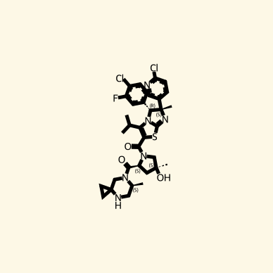 CC(C)C1=C(C(=O)N2C[C@@](C)(O)C[C@H]2C(=O)N2CC3(CC3)NC[C@@H]2C)SC2=N[C@@](C)(c3ccc(Cl)nc3)[C@@H](c3ccc(Cl)c(F)c3)N21